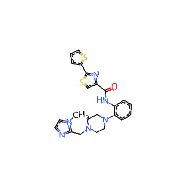 Cn1ccnc1CN1CCN(c2ccccc2NC(=O)c2csc(-c3cccs3)n2)CC1